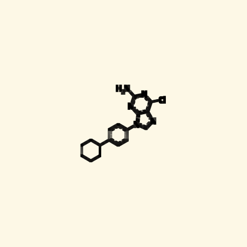 Nc1nc(Cl)c2ncn(-c3ccc(C4CCCCC4)cc3)c2n1